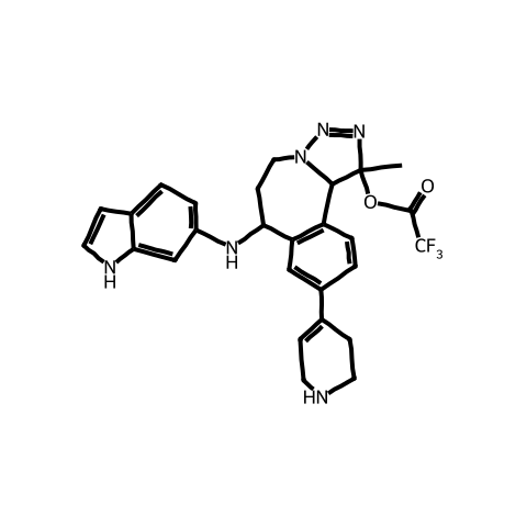 CC1(OC(=O)C(F)(F)F)N=NN2CCC(Nc3ccc4cc[nH]c4c3)c3cc(C4=CCNCC4)ccc3C21